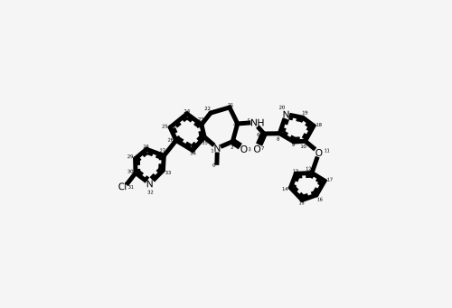 CN1C(=O)C(NC(=O)c2cc(Oc3ccccc3)ccn2)CCc2ccc(-c3ccc(Cl)nc3)cc21